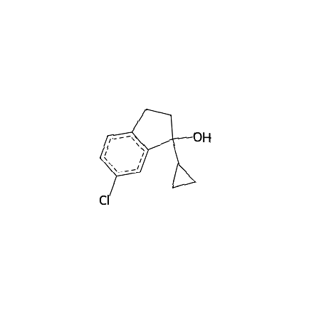 OC1(C2CC2)CCc2ccc(Cl)cc21